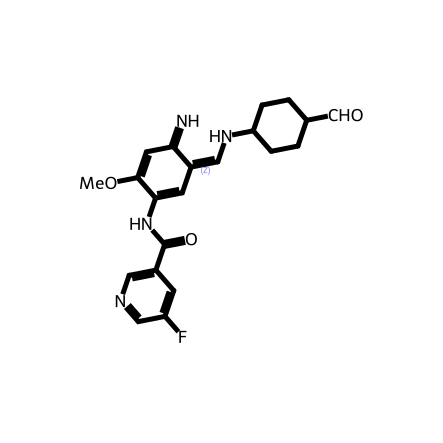 COC1=CC(=N)/C(=C\NC2CCC(C=O)CC2)C=C1NC(=O)c1cncc(F)c1